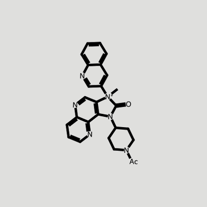 CC(=O)N1CCC(N2C(=O)[N+](C)(c3cnc4ccccc4c3)c3cnc4cccnc4c32)CC1